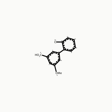 COc1cc(C(=O)O)cc(-c2ccccc2Cl)c1